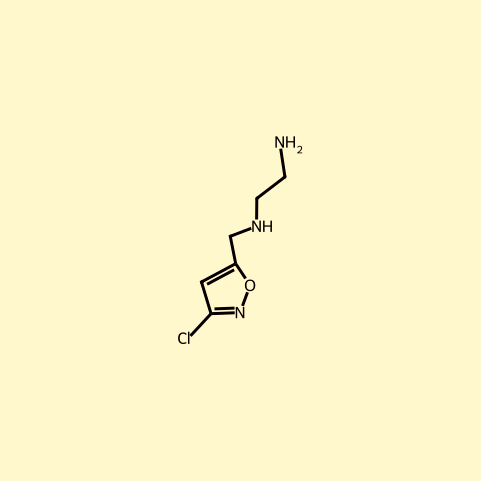 NCCNCc1cc(Cl)no1